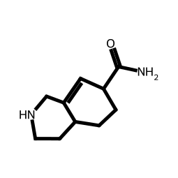 NC(=O)C1C=C2CNCCC2CC1